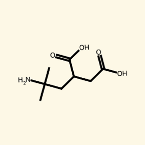 CC(C)(N)CC(CC(=O)O)C(=O)O